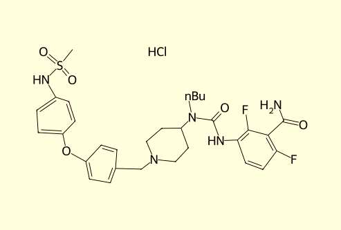 CCCCN(C(=O)Nc1ccc(F)c(C(N)=O)c1F)C1CCN(Cc2ccc(Oc3ccc(NS(C)(=O)=O)cc3)cc2)CC1.Cl